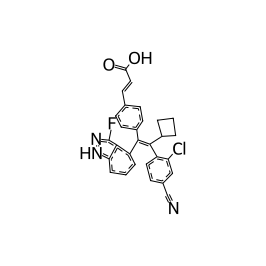 N#Cc1ccc(C(=C(c2ccc(C=CC(=O)O)cc2)c2cccc3[nH]nc(F)c23)C2CCC2)c(Cl)c1